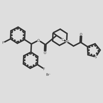 O=C(C[N+]12CCC(CC1)C(C(=O)OC(c1cccc(F)c1)c1cccc(F)c1)C2)c1ccsc1.[Br-]